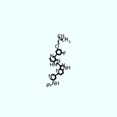 CC(C)Nc1cncc(-c2ccc3[nH]nc(-c4nc5c(-c6cc(F)cc(OCCN(C)C)c6)nccc5[nH]4)c3n2)c1